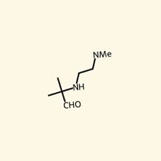 CNCCNC(C)(C)C=O